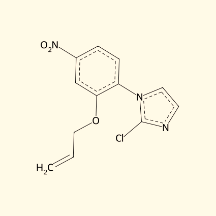 C=CCOc1cc([N+](=O)[O-])ccc1-n1ccnc1Cl